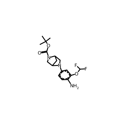 CC(C)(C)OC(=O)N1CC2CC1CN2c1ccc(N)c(OC(F)F)c1